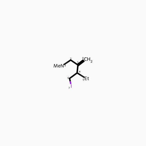 C=C(CNC)C(CC)CI